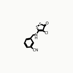 N#Cc1cccc(CNc2ssc(=O)c2Cl)c1